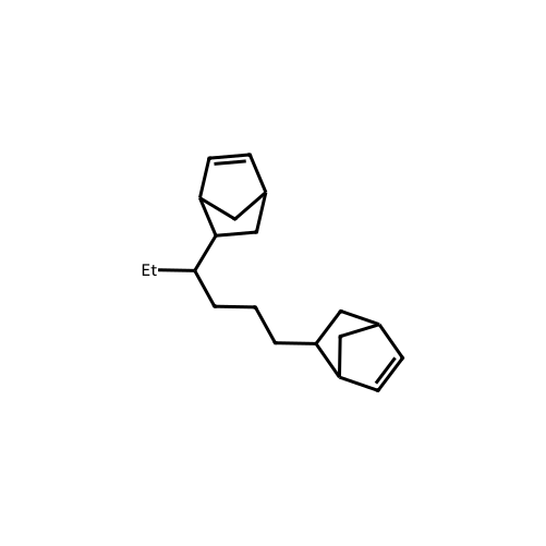 CCC(CCCC1CC2C=CC1C2)C1CC2C=CC1C2